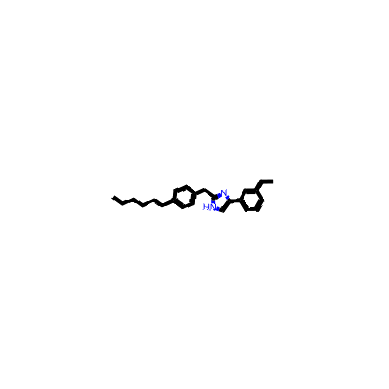 CCCCCCc1ccc(Cc2nc(-c3cccc(CC)c3)c[nH]2)cc1